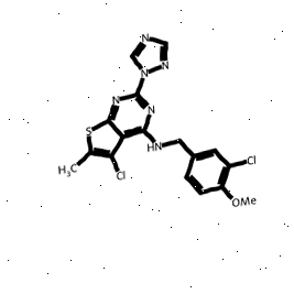 COc1ccc(CNc2nc(-n3cncn3)nc3sc(C)c(Cl)c23)cc1Cl